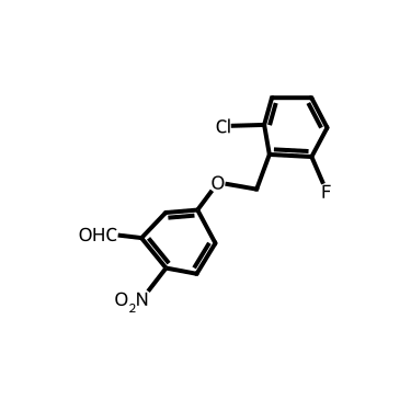 O=Cc1cc(OCc2c(F)cccc2Cl)ccc1[N+](=O)[O-]